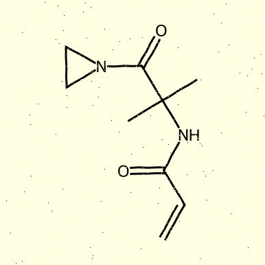 C=CC(=O)NC(C)(C)C(=O)N1CC1